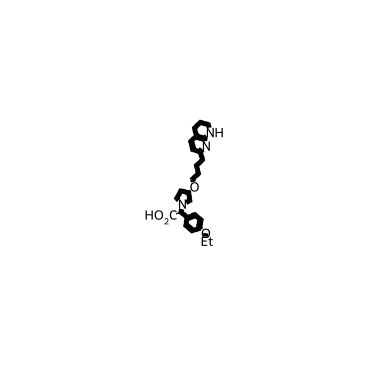 CCOc1ccc([C@H](C(=O)O)N2CC[C@@H](OCCCCc3ccc4c(n3)NCCC4)C2)cc1